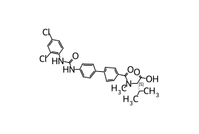 CC(C)[C@@H](C(=O)O)N(C)C(=O)c1ccc(-c2ccc(NC(=O)Nc3ccc(Cl)cc3Cl)cc2)cc1